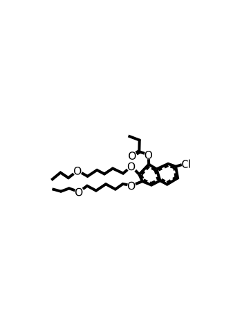 CCCOCCCCCOc1cc2ccc(Cl)cc2c(OC(=O)CC)c1OCCCCCOCCC